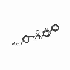 COc1ccc(CSC(=O)N=c2ccn(-c3ccccc3)nc2)cc1